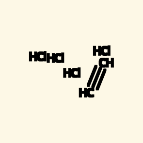 C#C.Cl.Cl.Cl.Cl